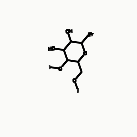 CC(C)C1OC(COI)C(OI)C(O)C1O